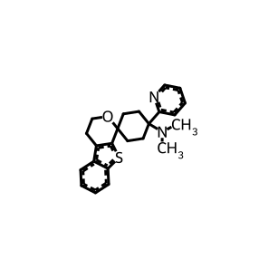 CN(C)C1(c2ccccn2)CCC2(CC1)OCCc1c2sc2ccccc12